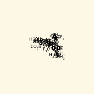 CN(C(=O)N(c1nn(CC(F)(F)F)c2c(-c3ccc(C#CC(C)(C)S(C)(=O)=O)nc3C(Cc3cc(F)cc(F)c3)NC(=O)Cn3nc(C(F)(F)F)c4c3C(F)(F)[C@@H]3C[C@H]43)ccc(Cl)c12)S(C)(=O)=O)C(CCC(=O)O)C(=O)OCOP(=O)(O)O